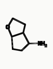 NC1CCC2OCCC12